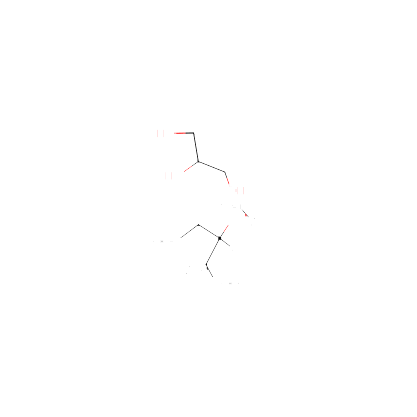 CCC[CH2][Zn+].O=C([O-])CC(O)(CC(=O)[O-])C(=O)[O-].OCC(O)CO.[Zn+2]